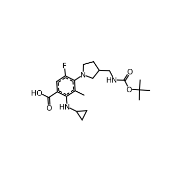 Cc1c(NC2CC2)c(C(=O)O)cc(F)c1N1CCC(CNC(=O)OC(C)(C)C)C1